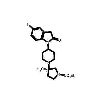 CCOC(=O)N1CC[C@](C)(N2CCC(N3C(=O)Cc4cc(F)ccc43)CC2)C1